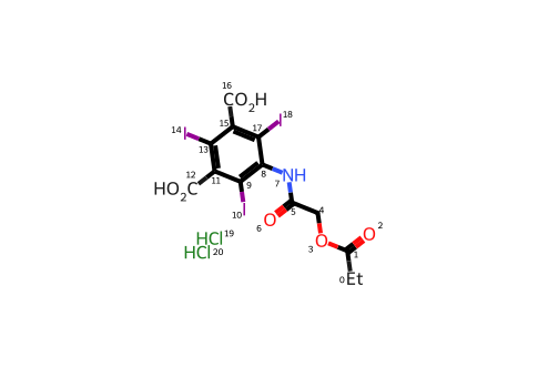 CCC(=O)OCC(=O)Nc1c(I)c(C(=O)O)c(I)c(C(=O)O)c1I.Cl.Cl